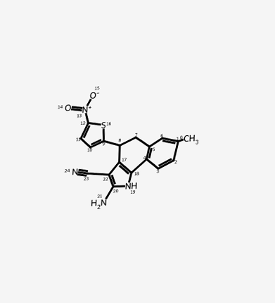 Cc1ccc2c(c1)CC(c1ccc([N+](=O)[O-])s1)c1c-2[nH]c(N)c1C#N